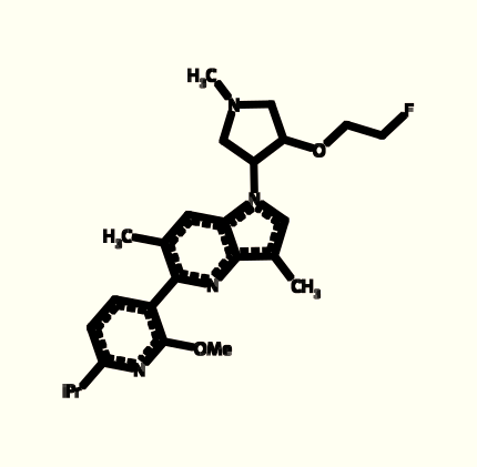 COc1nc(C(C)C)ccc1-c1nc2c(C)cn(C3CN(C)CC3OCCF)c2cc1C